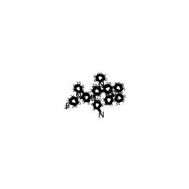 N#Cc1ccc(N(c2ccc3c(c2)c2ccccc2n3-c2ccc(F)cc2)c2ccc3c(c2)c2cc([Si](c4ccccc4)(c4ccccc4)c4ccccc4)ccc2n3-c2ccccc2)cc1